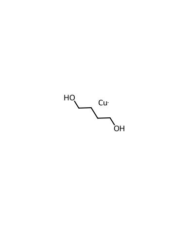 OCCCCO.[Cu]